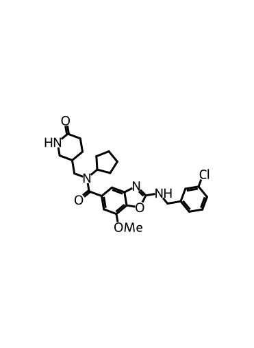 COc1cc(C(=O)N(CC2CCC(=O)NC2)C2CCCC2)cc2nc(NCc3cccc(Cl)c3)oc12